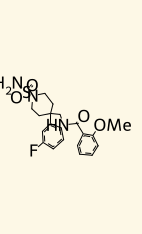 COc1ccccc1C(=O)NCC1(c2cccc(F)c2)CCN(S(N)(=O)=O)CC1